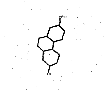 CCCCCCC1CCC2C(CCC3CC(C#N)CCC32)C1